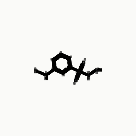 CCNc1cccc(S(=O)(=O)NC(C)(C)C)c1